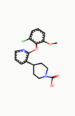 COc1cccc(Cl)c1Oc1ncccc1C1CCN(C(=O)O)CC1